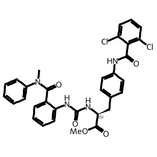 COC(=O)[C@H](Cc1ccc(NC(=O)c2c(Cl)cccc2Cl)cc1)NC(=O)Nc1ccccc1C(=O)N(C)c1ccccc1